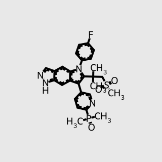 CC(C)(CS(C)(=O)=O)c1c(-c2ccc(P(C)(C)=O)nc2)c2cc3[nH]ncc3cc2n1-c1ccc(F)cc1